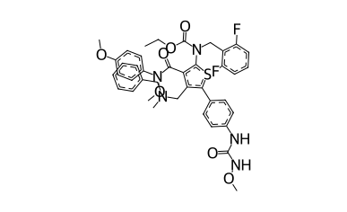 CCOC(=O)N(Cc1c(F)cccc1F)c1sc(-c2ccc(NC(=O)NOC)cc2)c(CN(C)Cc2ccccc2)c1C(=O)N(OC)c1ccc(OC)cc1